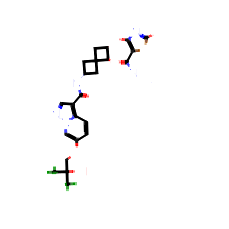 COc1nc(O[C@H]2CC3(C[C@H](NC(=O)c4cnn5cc(OCC(O)(C(F)(F)F)C(F)(F)F)ccc45)C3)C2)c(C(N)=O)s1